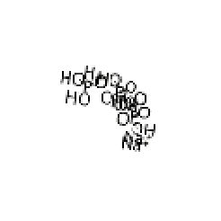 O.O=P([O-])(O)O.O=P([O-])(O)O.O=[PH](O)O.[Na+].[Na+]